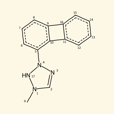 CN1C=NN(c2cccc3c2-c2ccccc2-3)N1